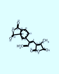 C=C/C(=C\C1=C(C)C(=O)OC1=O)c1ccc2c(c1)C(=O)OC2=O